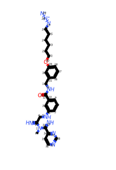 CN(C(=N)CNc1cccc(C(=O)NCc2cccc(OCCCCCCN=[N+]=[N-])c2)c1)C(=N)c1ccncn1